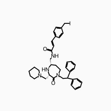 O=C(/C=C/c1ccc(CI)cc1)NC[C@@H]1CCN(CC(c2ccccc2)c2ccccc2)C(=O)[C@H](CN2CCCCC2)N1